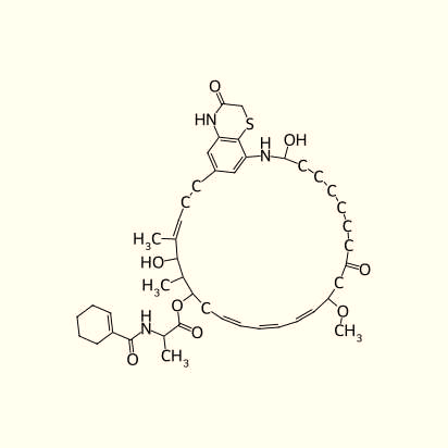 COC1\C=C/C=C\C=C/CC(OC(=O)C(C)NC(=O)C2=CCCCC2)C(C)C(O)/C(C)=C\CCc2cc3c(c(c2)NC(O)CCCCCCC(=O)C1)SCC(=O)N3